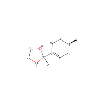 C[C@H]1CC=C(C2(C)OCCO2)CC1